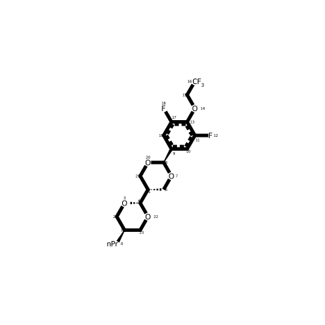 CCC[C@H]1CO[C@H]([C@H]2CO[C@H](c3cc(F)c(OCC(F)(F)F)c(F)c3)OC2)OC1